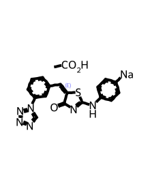 CC(=O)O.O=C1N=C(Nc2cc[c]([Na])cc2)S/C1=C/c1cccc(-n2cnnn2)c1